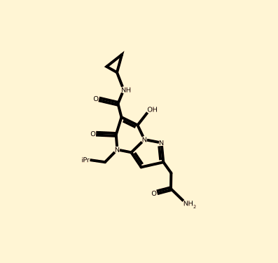 CC(C)Cn1c(=O)c(C(=O)NC2CC2)c(O)n2nc(CC(N)=O)cc12